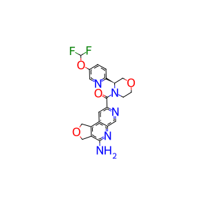 Nc1nc2cnc(C(=O)N3CCOC[C@@H]3c3ccc(OC(F)F)cn3)cc2c2c1COC2